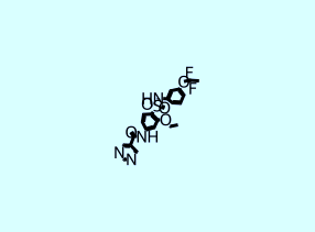 CCOc1cc(NC(=O)c2cncnc2)ccc1S(=O)(=O)Nc1cccc(OC(C)(F)F)c1